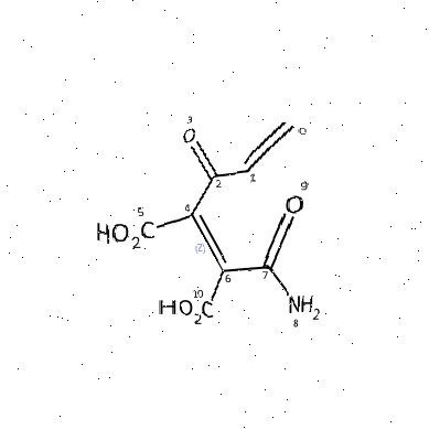 C=CC(=O)/C(C(=O)O)=C(\C(N)=O)C(=O)O